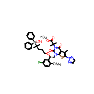 CCCCOC(=O)C(C)(C)n1c(=O)c2c(C)c(-n3nccn3)sc2n(C[C@H](OCCCC(C)(C)[Si](O)(c2ccccc2)c2ccccc2)c2cc(F)ccc2OC)c1=O